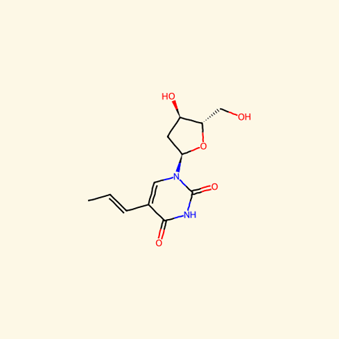 CC=Cc1cn([C@H]2C[C@@H](O)[C@H](CO)O2)c(=O)[nH]c1=O